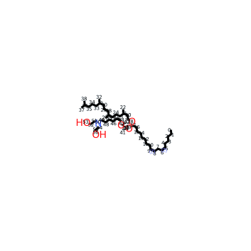 CCCCC/C=C\C/C=C\CCCCCCCC(OCCC(C)CCCC(C)CCCC(C)CCCC(C)C)O[Si](C)(C)OCCCCCCN(CCO)CCO